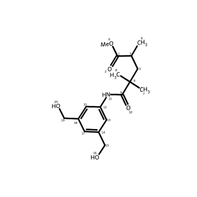 COC(=O)C(C)CC(C)(C)C(=O)Nc1cc(CO)cc(CO)c1